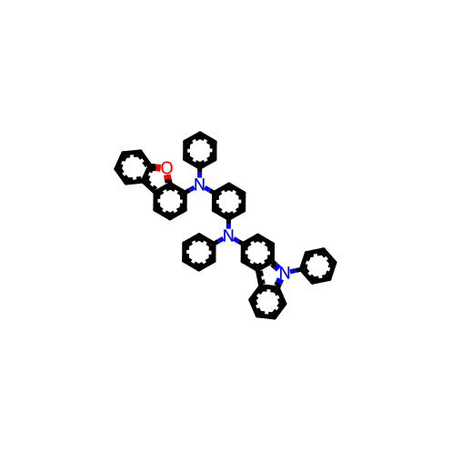 c1ccc(N(c2cccc(N(c3ccccc3)c3cccc4c3oc3ccccc34)c2)c2ccc3c(c2)c2ccccc2n3-c2ccccc2)cc1